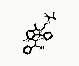 C=C(C)C(=O)OCCN1C(=C)c2ccccc2C1(NC(CO)C(O)c1ccccc1)c1ccccc1